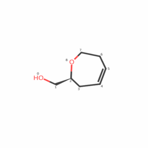 OC[C@@H]1CC=CCCO1